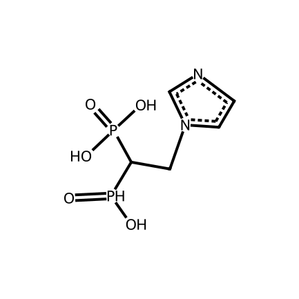 O=[PH](O)C(Cn1ccnc1)P(=O)(O)O